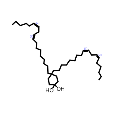 CCCCC/C=C\C/C=C\CCCCCCCCC1(CCCCCCCC/C=C\C/C=C\CCCCC)CCC(O)(O)CC1